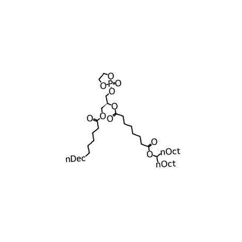 CCCCCCCCCCCCCCCC(=O)OC[C@@H](COP1(=O)OCCO1)OC(=O)CCCCCCC(=O)OC(CCCCCCCC)CCCCCCCC